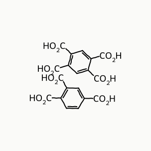 O=C(O)c1cc(C(=O)O)c(C(=O)O)cc1C(=O)O.O=C(O)c1ccc(C(=O)O)c(C(=O)O)c1